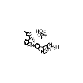 CNc1ncc2c(n1)N1CCN=C1C(c1ccc(Nc3nnc(-c4cc(C)cs4)c4ccccc34)cc1C)=C2.O=C(O)C(F)(F)F